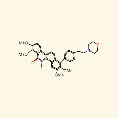 COc1cc2c(ccc3c4ccc(OC)c(OC)c4c(=O)n(C)c23)c(-c2ccc(CCN3CCOCC3)cc2)c1OC